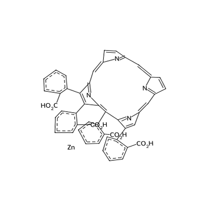 O=C(O)c1ccccc1C1=CC2=CC3=NC(=CC4=NC(=CC5=NC(=C(c6ccccc6C(=O)O)C1=N2)C(c1ccccc1C(=O)O)=C5c1ccccc1C(=O)O)C=C4)C=C3.[Zn]